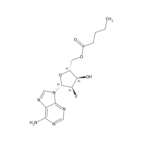 CCCCC(=O)OC[C@H]1O[C@@H](n2cnc3c(N)ncnc32)[C@H](F)[C@@H]1O